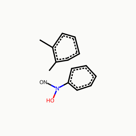 Cc1ccccc1C.O=NN(O)c1ccccc1